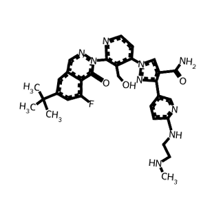 CNCCNc1ccc(-c2nn(-c3ccnc(-n4ncc5cc(C(C)(C)C)cc(F)c5c4=O)c3CO)cc2C(N)=O)cn1